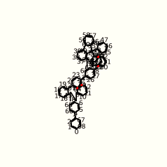 c1ccc(-c2ccc(N(c3ccccc3)c3ccccc3-c3ccc(-c4ccc5c6ccccc6n(-c6cccc7c6C(c6ccccc6)(c6ccccc6)c6ccccc6-7)c5c4)cc3)cc2)cc1